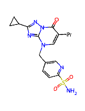 CC(C)c1cn(Cc2ccc(S(N)(=O)=O)nc2)c2nc(C3CC3)nn2c1=O